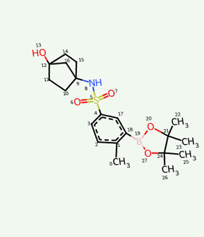 Cc1ccc(S(=O)(=O)NC23CCC(O)(CC2)C3)cc1B1OC(C)(C)C(C)(C)O1